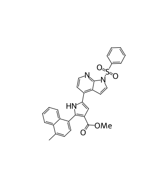 COC(=O)c1cc(-c2ccnc3c2ccn3S(=O)(=O)c2ccccc2)[nH]c1-c1ccc(C)c2ccccc12